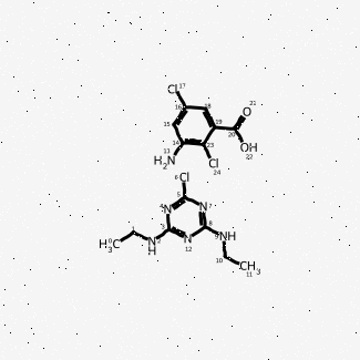 CCNc1nc(Cl)nc(NCC)n1.Nc1cc(Cl)cc(C(=O)O)c1Cl